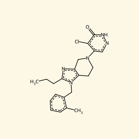 CCCc1nc2c(n1Cc1ccccc1C)CCN(c1cn[nH]c(=O)c1Cl)C2